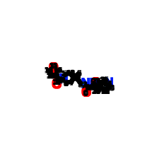 O=C(NCC1CC12CCN(C(=O)C1CCOC1)CC2)c1cc2ccncc2o1